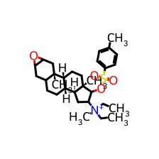 CC[N+](C)(CC)C1C[C@H]2[C@@H]3CCC4CC5OC5C[C@]4(C)[C@@H]3CC[C@]2(C)C1OS(=O)(=O)c1ccc(C)cc1